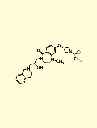 CC(=O)N1CC(Oc2ccc3c(c2)N(C)CCN(CC(O)CN2CCc4ccccc4C2)C3=O)C1